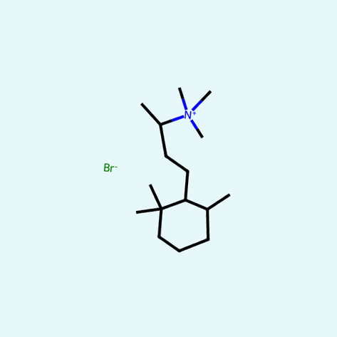 CC1CCCC(C)(C)C1CCC(C)[N+](C)(C)C.[Br-]